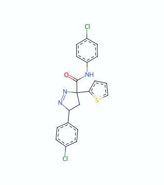 O=C(Nc1ccc(Cl)cc1)C1(c2cccs2)CC(c2ccc(Cl)cc2)N=N1